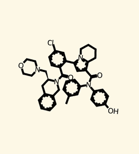 Cc1cccc(N(C(=O)c2cc(-c3cc(Cl)ccc3C(=O)N3Cc4ccccc4C[C@H]3CN3CCOCC3)n3c2CCCC3)c2ccc(O)cc2)c1